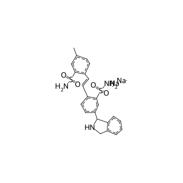 Cc1ccc(C=Cc2ccc(C3NCc4ccccc43)cc2S(N)(=O)=O)c(S(N)(=O)=O)c1.[Na].[Na]